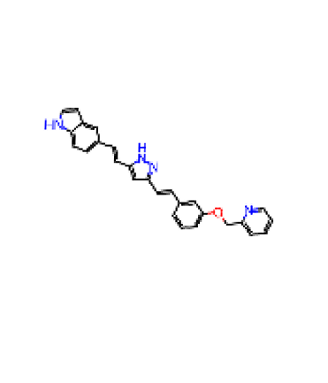 C(=C\c1cc(/C=C/c2ccc3[nH]ccc3c2)[nH]n1)/c1cccc(OCc2ccccn2)c1